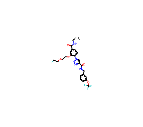 CCNC(=O)c1ccc(-n2cc(C(=O)NCc3cccc(OC(F)(F)F)c3)nn2)c(OCCOCCF)c1